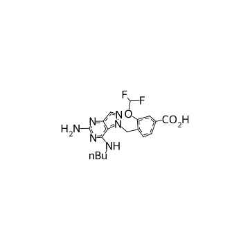 CCCCNc1nc(N)nc2cnn(Cc3ccc(C(=O)O)cc3OC(F)F)c12